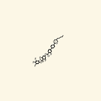 CCCCCC1COC(c2ccc(-c3ccc(C(=O)Oc4cc(F)c(C(F)(F)Oc5cc(F)c(F)c(F)c5)c(F)c4)c(F)c3)cc2)OC1